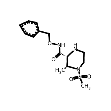 C[C@@H]1[C@H](C(=O)NOCc2ccccc2)NCCN1S(C)(=O)=O